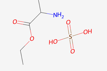 CCOC(=O)C(C)N.O=S(=O)(O)O